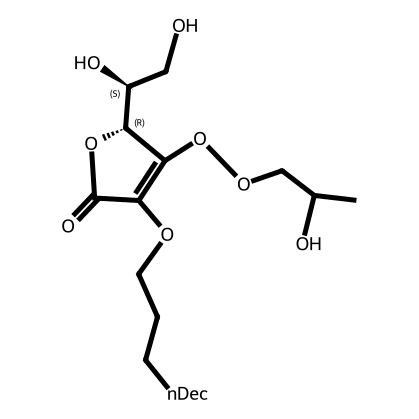 CCCCCCCCCCCCCOC1=C(OOCC(C)O)[C@@H]([C@@H](O)CO)OC1=O